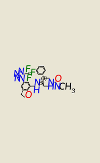 CNC(=O)N1CC[C@H](NCc2cc(-n3nnnc3C(F)(F)F)cc3c2OCC3)[C@H](c2ccccc2)C1